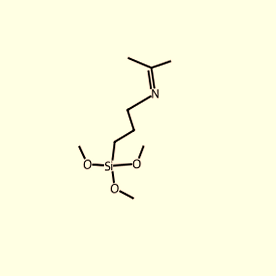 CO[Si](CCCN=C(C)C)(OC)OC